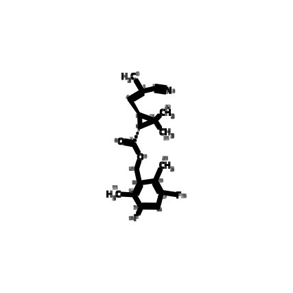 CC(C#N)=C[C@@H]1[C@@H](C(=O)OCc2c(C)c(F)cc(F)c2C)C1(C)C